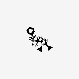 CC(C)(NS(=O)(=O)c1ccccc1)c1nnc(C2CC2)n1C1CC1